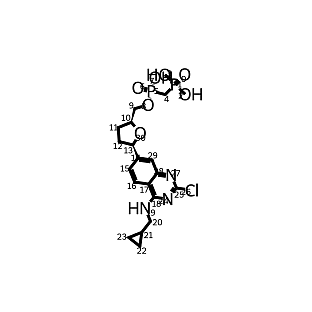 O=P(O)(O)CP(=O)(O)OC[C@@H]1CC[C@H](c2ccc3c(NCC4CC4)nc(Cl)nc3c2)O1